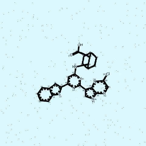 O=C(O)C1C2CCC(CC2)C1Nc1cc(-c2cc3ccccc3s2)nc(-c2c[nH]c3ncc(Cl)nc23)n1